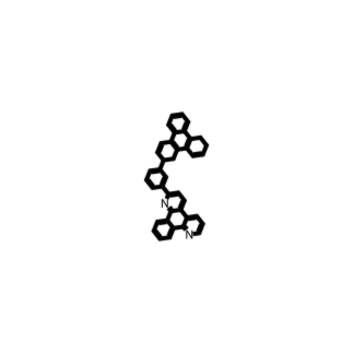 C1=Cc2c3c(c4ccccc4c2CC1)C=CC(c1cccc(-c2ccc4c5cccnc5c5ccccc5c4n2)c1)C3